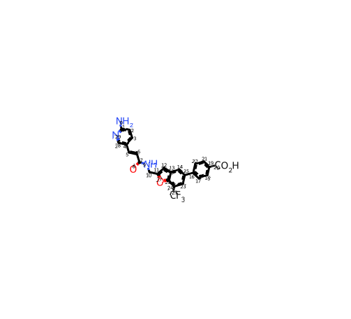 Nc1ccc(/C=C/C(=O)NCc2cc3cc(-c4ccc(C(=O)O)cc4)cc(C(F)(F)F)c3o2)cn1